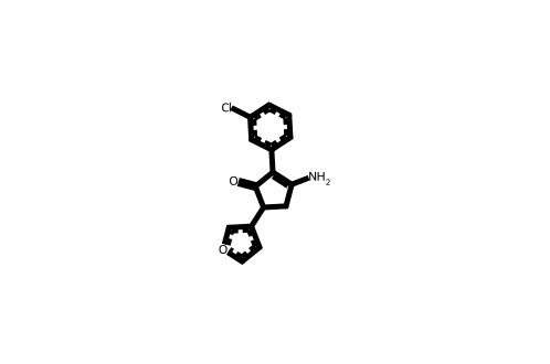 NC1=C(c2cccc(Cl)c2)C(=O)C(c2ccoc2)C1